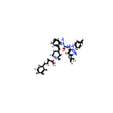 Cc1ccc(-n2nc(C(C)(C)C)cc2NC(=O)Nc2ccccc2CC2CCN(C(=O)CCCc3ccccc3)CC2)cc1